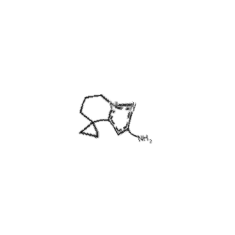 Nc1cc2n(n1)CCCC21CC1